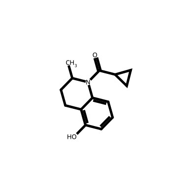 CC1CCc2c(O)cccc2N1C(=O)C1CC1